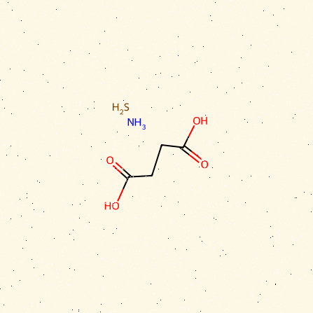 N.O=C(O)CCC(=O)O.S